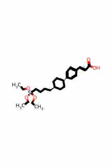 CCO[Si](CCCC[C@H]1CC[C@H](c2ccc(/C=C/C(=O)O)cc2)CC1)(OCC)OCC